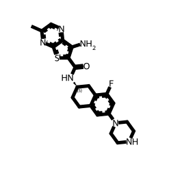 Cc1cnc2c(N)c(C(=O)N[C@H]3CCc4cc(N5CCNCC5)cc(F)c4C3)sc2n1